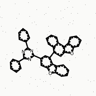 c1ccc(-c2nc(-c3ccccc3)nc(-c3cc(-c4cc5oc6ccccc6c5c5ccccc45)c4c(c3)oc3ccccc34)n2)cc1